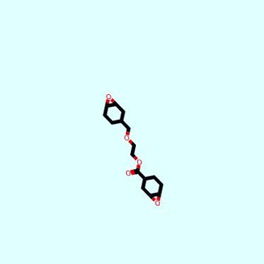 O=C(OCCOCC1CCC2OC2C1)C1CCC2OC2C1